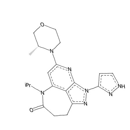 CC(C)N1C(=O)CCc2nn(-c3cc[nH]n3)c3nc(N4CCOC[C@H]4C)cc1c23